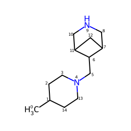 CC1CCN(CC2C3CNCC2C3)CC1